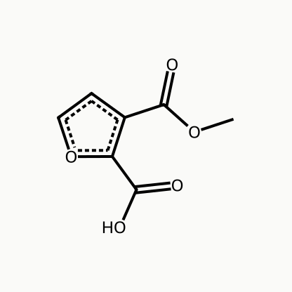 COC(=O)c1ccoc1C(=O)O